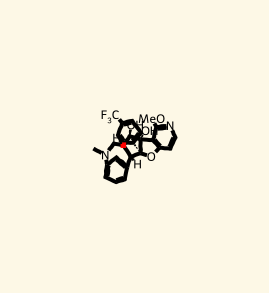 COc1nccc2c1[C@]1(O)[C@H](O)[C@@H]3CN(C)c4cccc(c4)[C@H]3[C@]1(c1ccc(C(F)(F)F)cc1)O2